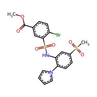 COC(=O)c1ccc(Br)c(S(=O)(=O)Nc2cc(S(C)(=O)=O)ccc2-n2cccc2)c1